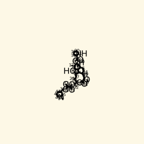 CO[C@H]1C[C@H]2C=CC3C4[C@H](O)[C@@H](C)[C@@H](OC(=O)c5ccc[nH]5)[C@@H]3O[C@]42/C(C)=C/[C@@H](C)[C@@H]([C@@H](C)OC(=O)C(=O)OCc2cccnc2)OC1=O